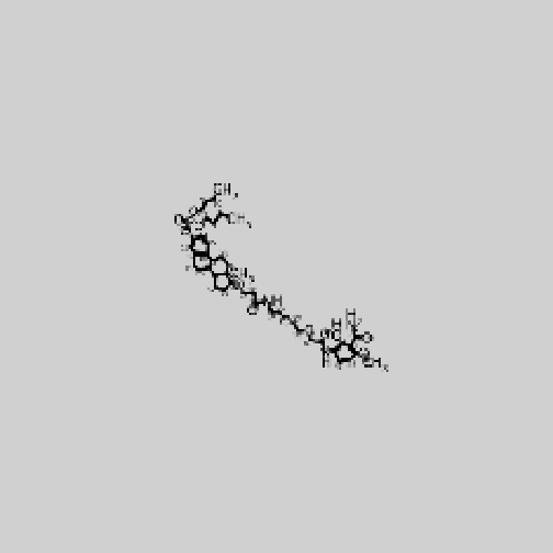 CCCCOP(=O)(OCCCC)Oc1ccc2c(c1)CCC1C2CCC2(C)C(OCCC(=O)NCCOCCOCC(=O)Nc3ccc(OC)c(C(N)=O)c3O)CCC12